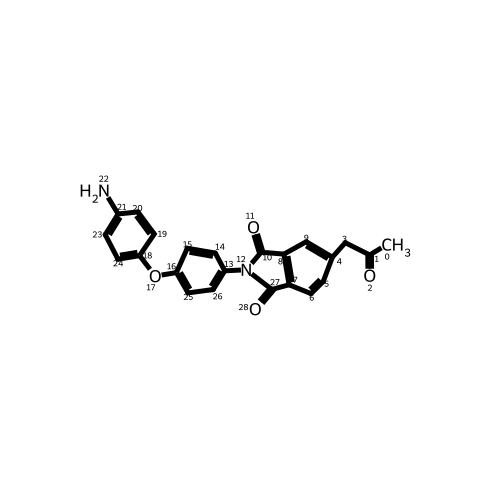 CC(=O)Cc1ccc2c(c1)C(=O)N(c1ccc(Oc3ccc(N)cc3)cc1)C2=O